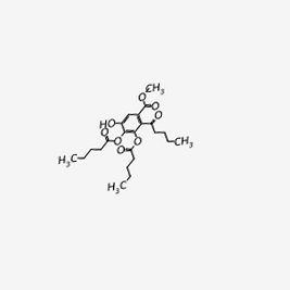 CCCCC(=O)Oc1c(O)cc(C(=O)OC)c(C(=O)CCCC)c1OC(=O)CCCC